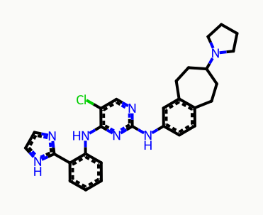 Clc1cnc(Nc2ccc3c(c2)CCC(N2CCCC2)CC3)nc1Nc1ccccc1-c1ncc[nH]1